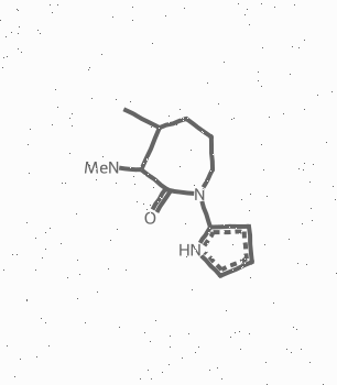 CNC1C(=O)N(c2ccc[nH]2)CCCC1C